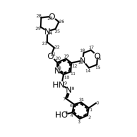 Cc1ccc(O)c(C=NNc2cc(N3CCOCC3)cc(OCCN3CCOCC3)n2)c1